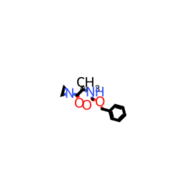 C[C@@H](NC(=O)OCc1ccccc1)C(=O)N1CC1